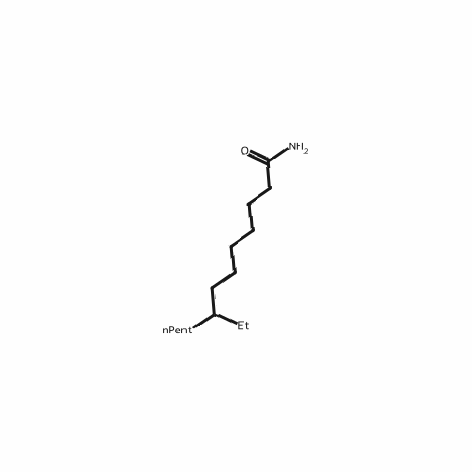 CCCCCC(CC)CCCCCCC(N)=O